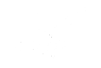 C1=CC(c2ccc(-c3ccccc3)cc2)CC=C1N(C1=CC(c2ccccc2)=CCC1)c1cc2c3c(oc2c2ccccc12)=CCCC=3c1cccc(-c2ccccc2)c1